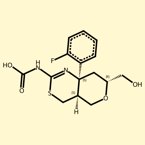 O=C(O)NC1=N[C@@]2(c3ccccc3F)C[C@H](CO)OC[C@H]2CS1